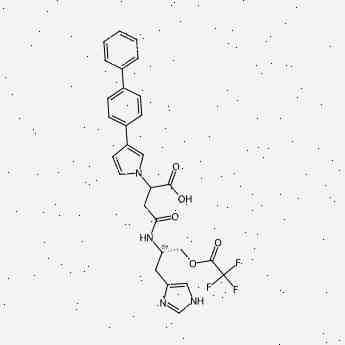 O=C(CC(C(=O)O)n1ccc(-c2ccc(-c3ccccc3)cc2)c1)N[C@H](COC(=O)C(F)(F)F)Cc1c[nH]cn1